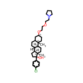 C[C@]12CC[C@H](OCCOCCN3CCCC3)CC1CC[C@@H]1[C@@H]2CC[C@@]2(C)[C@H]1CC[C@@]2(O)c1ccc(Cl)cc1